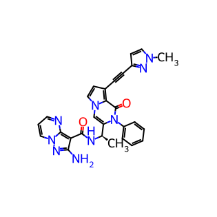 C[C@@H](NC(=O)c1c(N)nn2cccnc12)c1cn2ccc(C#Cc3ccn(C)n3)c2c(=O)n1-c1ccccc1